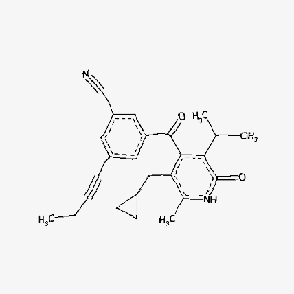 CCC#Cc1cc(C#N)cc(C(=O)c2c(CC3CC3)c(C)[nH]c(=O)c2C(C)C)c1